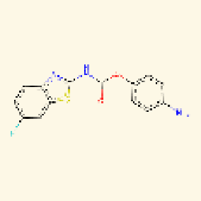 Nc1ccc(OC(=O)Nc2nc3ccc(F)cc3s2)cc1